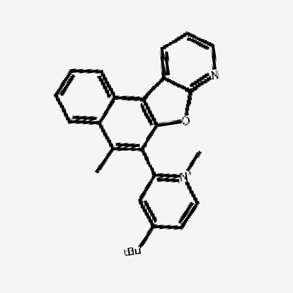 Cc1c(-c2cc(C(C)(C)C)cc[n+]2C)c2oc3ncccc3c2c2ccccc12